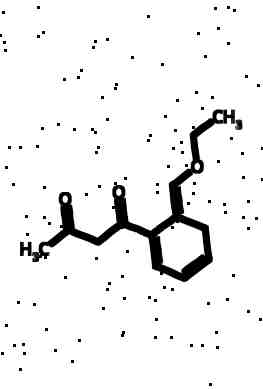 CCOC=C1CC=CC=C1C(=O)CC(C)=O